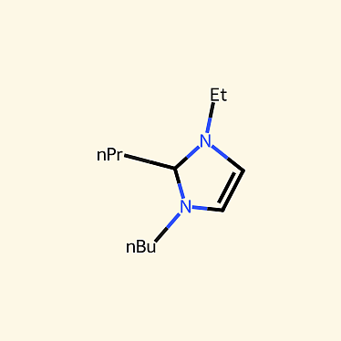 CCCCN1C=CN(CC)C1CCC